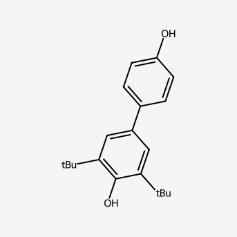 CC(C)(C)c1cc(-c2ccc(O)cc2)cc(C(C)(C)C)c1O